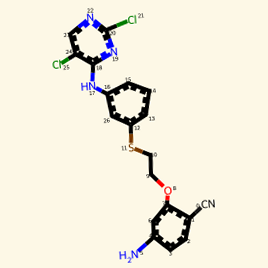 N#Cc1ccc(N)cc1OCCSc1cccc(Nc2nc(Cl)ncc2Cl)c1